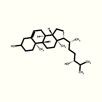 CC(C)[C@H](O)CC[C@@H](C)[C@H]1CC[C@H]2[C@@H]3CC=C4CC(O)CC[C@]4(C)[C@H]3CC[C@]12C